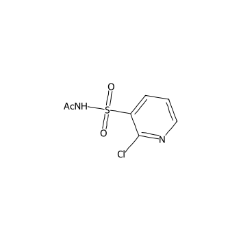 CC(=O)NS(=O)(=O)c1cccnc1Cl